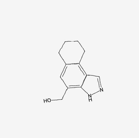 OCc1cc2c(c3cn[nH]c13)CCCC2